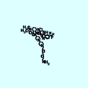 CC(C)N(C)[C@@H]1CC[C@H](N2CC[C@H](Nc3ncnc4ccc(C(F)(F)F)cc34)C2=O)[C@H](NC(=O)C2CCN(C3CCN(CCOCCOCCN)CC3)CC2)C1